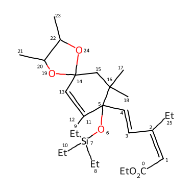 CCOC(=O)/C=C(\C=C\C1(O[Si](CC)(CC)CC)C(C)=CC2(CC1(C)C)OC(C)C(C)O2)CC